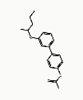 CCC[C@H](C)Oc1cccc(-c2ccc(OC(C)=O)cc2)c1